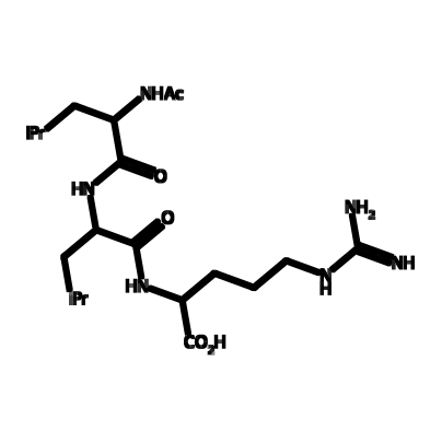 CC(=O)NC(CC(C)C)C(=O)NC(CC(C)C)C(=O)NC(CCCNC(=N)N)C(=O)O